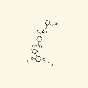 CCCOc1ccc(OC)c(-c2csc(NC(=O)c3ccc(C(=O)NCCN4CCCC4CO)cc3)n2)c1